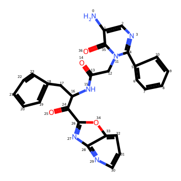 Nc1cnc(-c2ccccc2)n(CC(=O)NC(Cc2ccccc2)C(=O)c2nc3ncccc3o2)c1=O